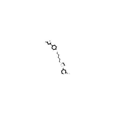 CCc1cc(-c2ccc(OCCCCCN3C=CN(c4ccnc(N)c4)S3)cc2)no1